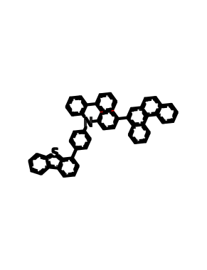 c1ccc(-c2ccccc2N(c2ccc(-c3cc4ccc5ccccc5c4c4ccccc34)cc2)c2ccc(-c3cccc4c3sc3ccccc34)cc2)cc1